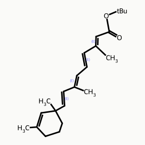 CC1=CC(C)(/C=C/C(C)=C/C=C/C(C)=C/C(=O)OC(C)(C)C)CCC1